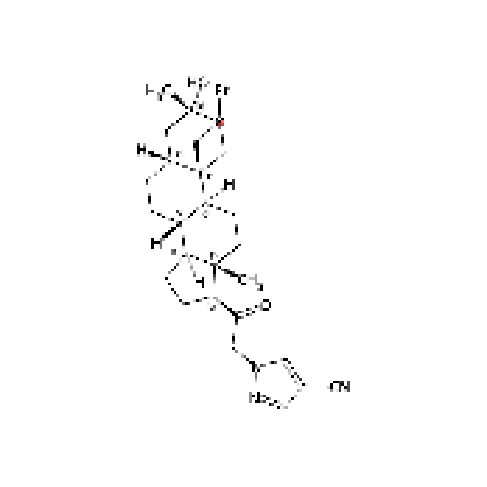 CCOC[C@]12CC[C@@](C)(O)C[C@H]1CC[C@H]1[C@@H]3CC[C@H](C(=O)Cn4cc(C#N)cn4)[C@@]3(C)CC[C@@H]12